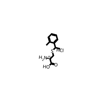 Cc1ccccc1C(C)SC[C@H](N)C(=O)O.Cl